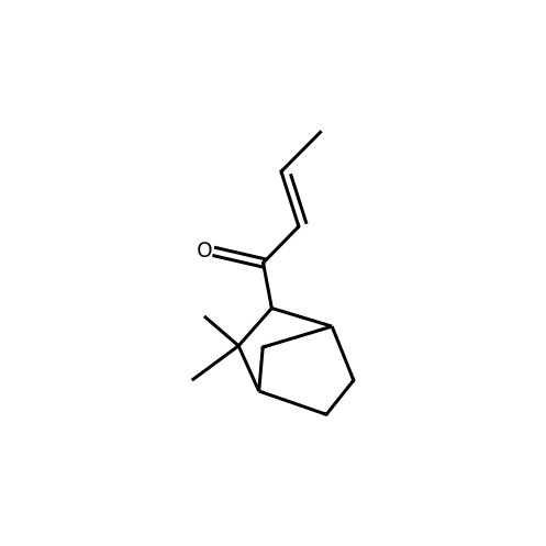 C/C=C/C(=O)C1C2CCC(C2)C1(C)C